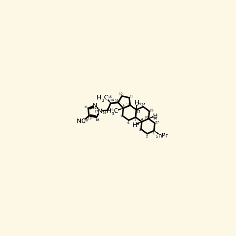 CCC[C@H]1CC[C@@H]2C3CC[C@@]4(C)C(CCC4[C@H](C)Cn4cc(C#N)cn4)[C@@H]3CC[C@@H]2C1